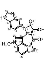 CC(C)CC(=O)C1=C(O)C(=O)N(c2ccc3[nH]cnc3c2)C1c1cn(C)c2ccccc12